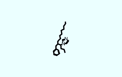 CCCCCCCCCC(Cc1ccccc1)C(CCC)n1ccnc1